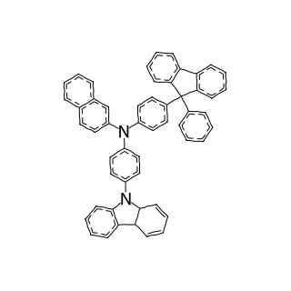 C1=CC2c3ccccc3N(c3ccc(N(c4ccc(C5(c6ccccc6)c6ccccc6-c6ccccc65)cc4)c4ccc5ccccc5c4)cc3)C2C=C1